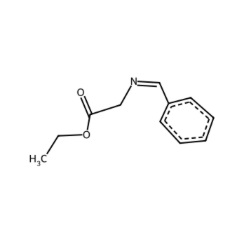 CCOC(=O)C/N=C\c1ccccc1